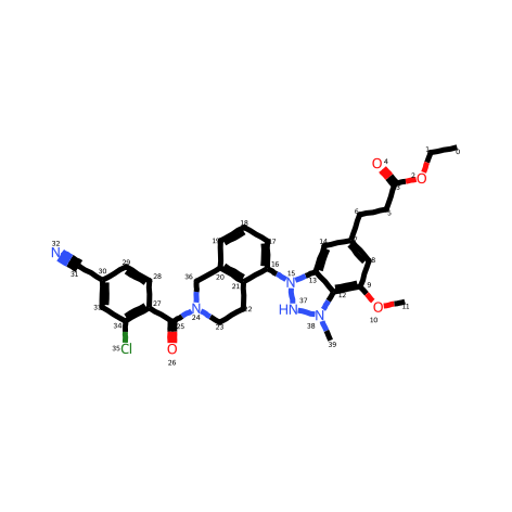 CCOC(=O)CCc1cc(OC)c2c(c1)N(c1cccc3c1CCN(C(=O)c1ccc(C#N)cc1Cl)C3)NN2C